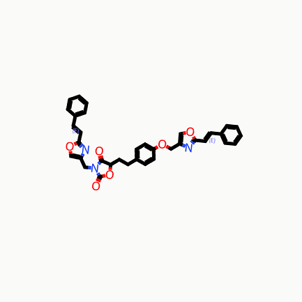 O=C1OC(CCc2ccc(OCc3coc(/C=C/c4ccccc4)n3)cc2)C(=O)N1Cc1coc(/C=C/c2ccccc2)n1